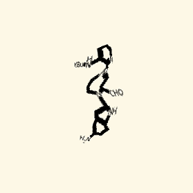 CC(C)(C)Nc1cccnc1N1CCN(c2cc3cc(N)ccc3[nH]2)C(C=O)C1